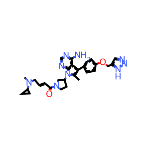 Cc1c(-c2ccc(OCc3cnn[nH]3)cc2)c2c(N)ncnc2n1C1CCN(C(=O)/C=C/CN(C)C2CC2)C1